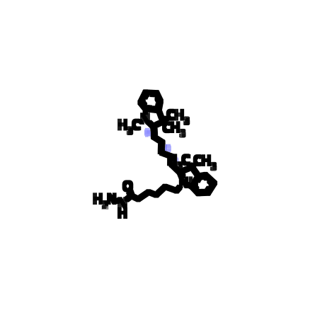 CN1/C(=C/C=C/C=C/C2=[N+](CCCCCC(=O)NN)c3ccccc3C2(C)C)C(C)(C)c2ccccc21